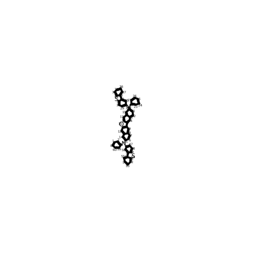 c1ccc(N(c2ccc3cc4c(cc3c2)oc2cc3cc(N(c5ccccc5)c5ccc6sc7ccccc7c6c5)ccc3cc24)c2ccc3sc4ccccc4c3c2)cc1